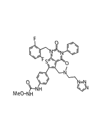 CONC(=O)Nc1ccc(-c2sc3c(c2CN(C)CCn2ccnn2)c(=O)n(-c2ccccc2)c(=O)n3Cc2c(F)cccc2F)cc1